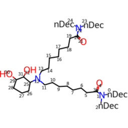 CCCCCCCCCCN(CCCCCCCCCC)C(=O)CCCCCCCN(CCCCCCCC(=O)N(CCCCCCCCCC)CCCCCCCCCC)C1CCCC(O)C1O